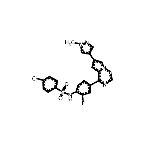 Cn1cc(-c2cc3c(-c4ccc(NS(=O)(=O)c5ccc(Cl)cc5)c(F)c4)ncnn3c2)cn1